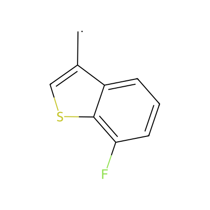 [CH2]c1csc2c(F)cccc12